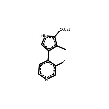 CCOC(=O)c1[nH]cc(-c2ccncc2Cl)c1C